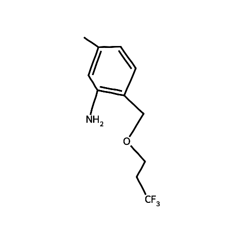 Cc1ccc(COCCC(F)(F)F)c(N)c1